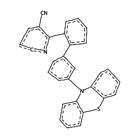 N#Cc1cccnc1-c1ccccc1-c1cccc(N2c3ccccc3Sc3ccccc32)c1